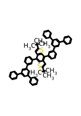 CC(C)(C)c1cc2c(-c3cccc(-c4cc(-c5ccccc5)cc(-c5ccccc5)c4)c3)c3sc(C(C)(C)C)cc3c(-c3cccc(-c4cc(-c5ccccc5)cc(-c5ccccc5)c4)c3)c2s1